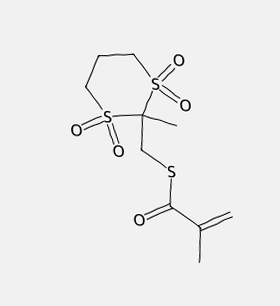 C=C(C)C(=O)SCC1(C)S(=O)(=O)CCCS1(=O)=O